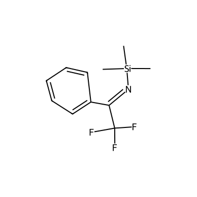 C[Si](C)(C)/N=C(\c1ccccc1)C(F)(F)F